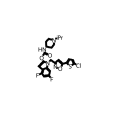 CC(C)N1CCC(NC(=O)Oc2cc3c(F)cc(F)cc3n2Cc2cc(-c3ccc(Cl)s3)on2)CC1